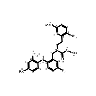 COc1ccc(N)c(CCN(Cc2cc(F)ccc2Nc2ccc(C(F)(F)F)cc2C(=O)O)C(=O)OC(C)(C)C)n1